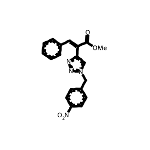 COC(=O)C(=Cc1ccccc1)c1cn(Cc2ccc([N+](=O)[O-])cc2)nn1